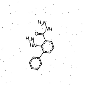 NNC(=O)c1cccc(-c2ccccc2)c1NN